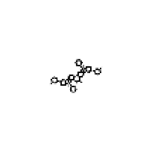 Cc1cccc(-c2ccc3c(c2)c2cc4c(cc2n3-c2ccccc2)-c2ccc3c5cc(-c6cccc(C)c6)ccc5n(C5C=CC=CC5)c3c2C(C)C4C)c1